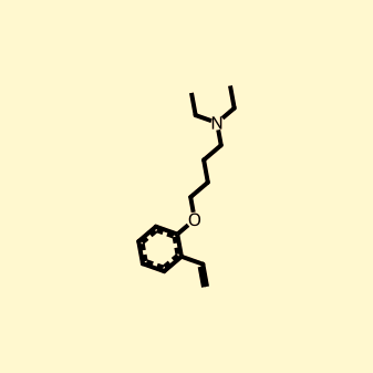 C=Cc1ccccc1OCCCCN(CC)CC